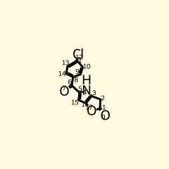 O=C1Cc2[nH]c(C(=O)c3ccc(Cl)cc3)cc2O1